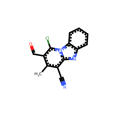 Cc1c(C=O)c(Cl)n2c(nc3ccccc32)c1C#N